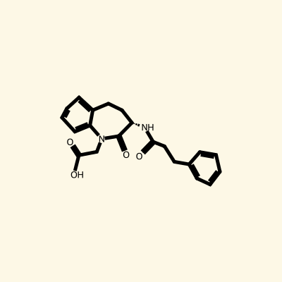 O=C(O)CN1C(=O)[C@@H](NC(=O)CCc2ccccc2)CCc2ccccc21